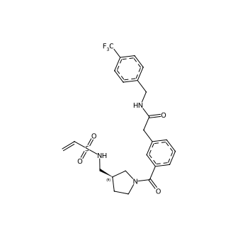 C=CS(=O)(=O)NC[C@@H]1CCN(C(=O)c2cccc(CC(=O)NCc3ccc(C(F)(F)F)cc3)c2)C1